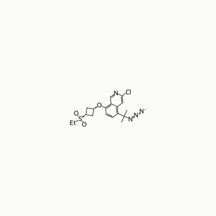 CCS(=O)(=O)[C@H]1C[C@@H](Oc2ccc(C(C)(C)N=[N+]=[N-])c3cc(Cl)ncc23)C1